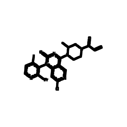 C=CC(=O)N1CCN(c2nc(=O)n(-c3c(C)ccnc3C(C)C)c3cc(Cl)ncc23)C(C)C1